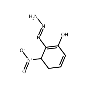 NN=NC1=C(O)C=CCC1[N+](=O)[O-]